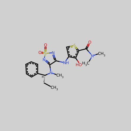 CC[C@H](c1ccccc1)N(C)C1=NS(=O)(=O)N=C1Nc1csc(C(=O)N(C)C)c1O